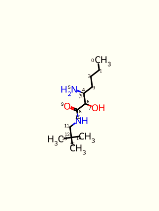 CCCC[C@H](N)C(O)C(=O)NCC(C)(C)C